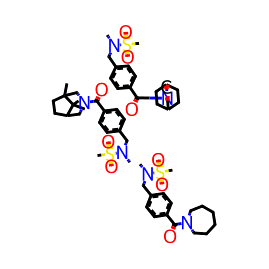 CN(Cc1ccc(C(=O)N2CC3CCC(C)(C2)C3(C)C)cc1)S(C)(=O)=O.CN(Cc1ccc(C(=O)N2CC3CCC(CC3)C2)cc1)S(C)(=O)=O.CN(Cc1ccc(C(=O)N2CCCCCC2)cc1)S(C)(=O)=O